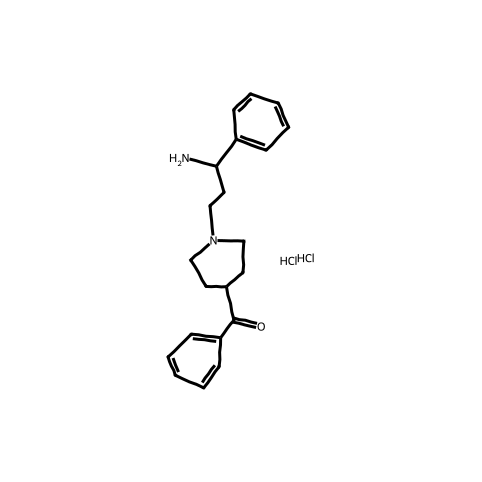 Cl.Cl.NC(CCN1CCC(C(=O)c2ccccc2)CC1)c1ccccc1